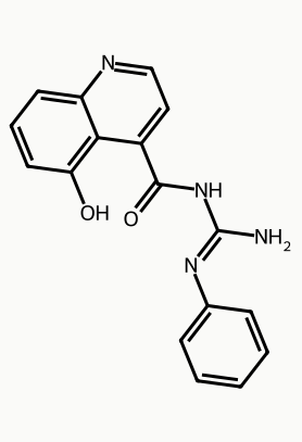 NC(=Nc1ccccc1)NC(=O)c1ccnc2cccc(O)c12